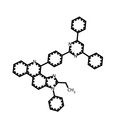 CCc1nc2c3c(-c4ccc(-c5nc(-c6ccccc6)cc(-c6ccccc6)n5)cc4)nc4ccccc4c3ccc2n1-c1ccccc1